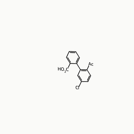 CC(=O)c1ccc(Cl)cc1-c1ccccc1C(=O)O